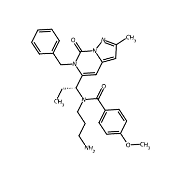 CC[C@H](c1cc2cc(C)nn2c(=O)n1Cc1ccccc1)N(CCCN)C(=O)c1ccc(OC)cc1